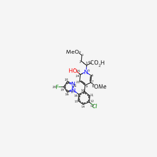 COCCC(C(=O)O)N1C=C(OC)C(c2cc(Cl)ccc2-n2cc(F)cn2)=CC1O